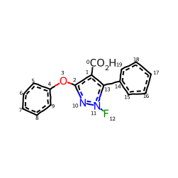 O=C(O)c1c(Oc2ccccc2)nn(F)c1-c1ccccc1